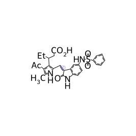 CCC(CC(=O)O)c1c(/C=C2\C(=O)Nc3ccc(NS(=O)(=O)c4ccccc4)cc32)[nH]c(C)c1C(C)=O